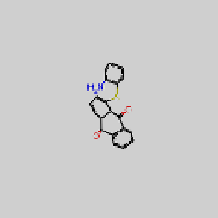 Nc1ccccc1SC1=CC=CC2C(=O)c3ccccc3C(=O)C12